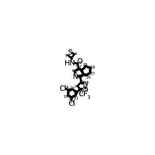 O=C(NC1CSC1)c1cnc(C2=NOC(c3cc(Cl)cc(Cl)c3)(C(F)(F)F)C2)c2ccccc12